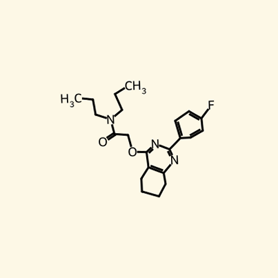 CCCN(CCC)C(=O)COc1nc(-c2ccc(F)cc2)nc2c1CCCC2